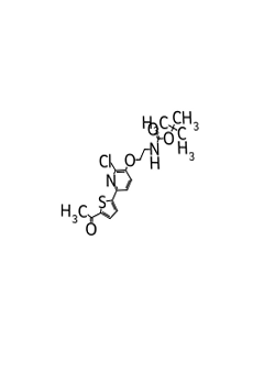 CC(=O)c1ccc(-c2ccc(OCCNC(=O)OC(C)(C)C)c(Cl)n2)s1